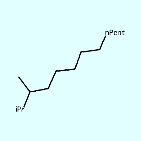 CCCCCCCCCCC(C)[C](C)C